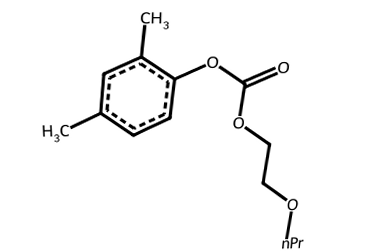 CCCOCCOC(=O)Oc1ccc(C)cc1C